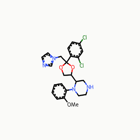 COc1ccccc1N1CCNCC1C1COC(Cn2ccnc2)(c2ccc(Cl)cc2Cl)O1